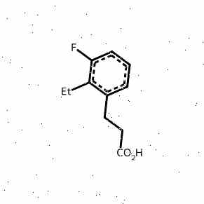 CCc1c(F)cccc1CCC(=O)O